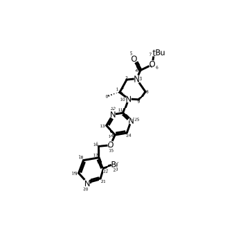 C[C@@H]1CN(C(=O)OC(C)(C)C)CCN1c1ncc(OCc2ccncc2Br)cn1